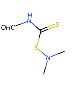 CN(C)SC(=S)NC=O